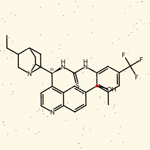 CCC1CN2CCC1CC2[C@@H](NC(=S)Nc1cc(C)cc(C(F)(F)F)c1)c1ccnc2ccc(CO)cc12